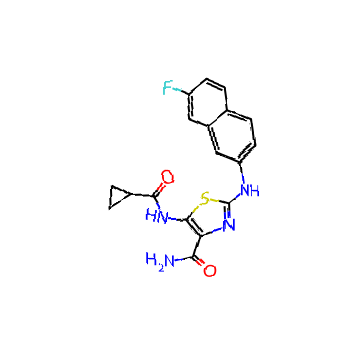 NC(=O)c1nc(Nc2ccc3ccc(F)cc3c2)sc1NC(=O)C1CC1